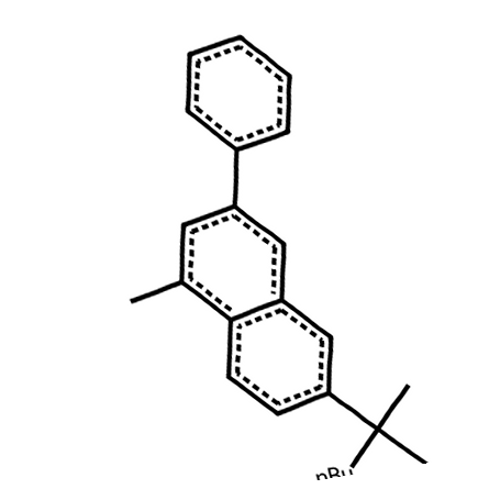 CCCCC(C)(C)c1ccc2c(C)cc(-c3ccccc3)cc2c1